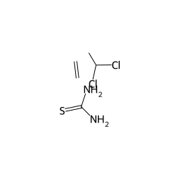 C=C.CC(Cl)Cl.NC(N)=S